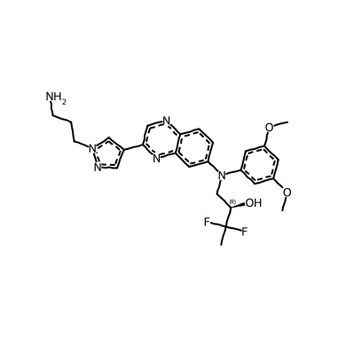 COc1cc(OC)cc(N(C[C@@H](O)C(C)(F)F)c2ccc3ncc(-c4cnn(CCCN)c4)nc3c2)c1